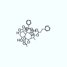 CC(=O)O[C@H]1C(=O)[C@@]2(C)C([C@H](OC(=O)c3ccccc3)[C@]3(O)C[C@H](OC(=O)CCc4ccccc4)C(C)C1[C@@H]3C)[C@]1(OC(C)=O)CO[C@@H]1C[C@@H]2O